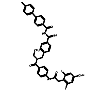 COc1cc(F)c(CC(=O)Nc2ccc(C(=O)N(CC(=O)O)Cc3ccc(C(=N)NC(=O)c4ccc(-c5ccc(C)cc5)cc4)cc3)cc2)c(F)c1